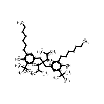 CCCCCCCc1cc(CC(Cc2cc(CCCCCCC)c(O)c(C(C)(C)C)c2)(C(=O)C(C)C)C(=O)C(C)C)cc(C(C)(C)C)c1O